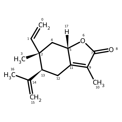 C=C[C@]1(C)C[C@@H]2OC(=O)C(C)=C2C[C@H]1C(=C)C